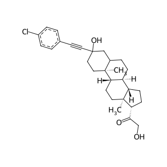 C[C@]12CC[C@H]3[C@@H](CCC4CC(O)(C#Cc5ccc(Cl)cc5)CC[C@@]43C)[C@@H]1CC[C@@H]2C(=O)CO